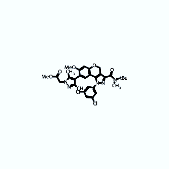 COC(=O)Cn1nc(C)c(-c2cc3c(cc2OC)OCc2c(C(=O)N(C)C(C)(C)C)nn(-c4cc(Cl)cc(Cl)c4)c2-3)c1C